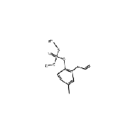 C=CCc1cc(C)ccc1OP(=O)(OCC)SCCC